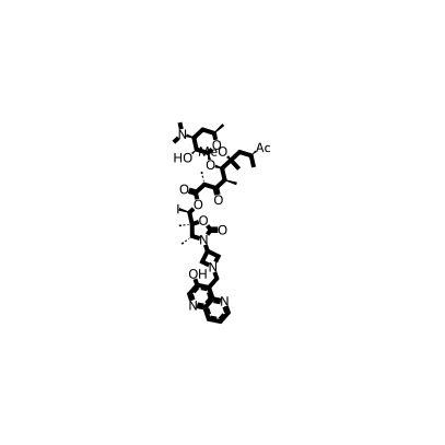 CO[C@](C)(C[C@@H](C)C(C)=O)[C@H](O[C@@H]1O[C@H](C)C[C@H](N(C)C)[C@H]1O)[C@@H](C)C(=O)[C@@H](C)C(=O)O[C@H](I)[C@@]1(C)OC(=O)N(C2CN(Cc3c(O)cnc4cccnc34)C2)[C@@H]1C